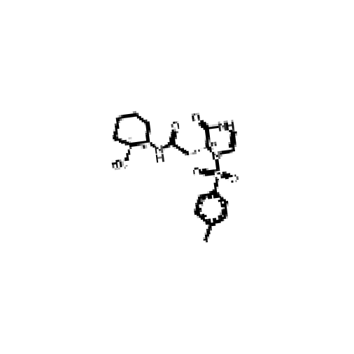 Cc1ccc(S(=O)(=O)N2C=CNC(=O)[C@H]2CC(=O)N[C@@H]2CCCC[C@@H]2C(C)(C)C)cc1